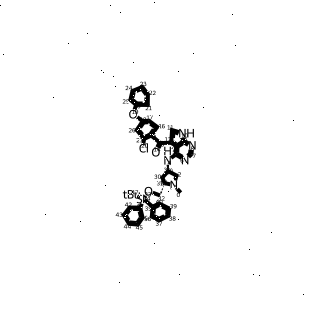 CN1C[C@H](Nc2ncnc3[nH]cc(C(=O)c4ccc(Oc5ccccc5)cc4Cl)c23)C[C@H]1CO[Si](c1ccccc1)(c1ccccc1)C(C)(C)C